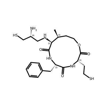 C[C@H]1CCOC(=O)[C@H](CCS)NC(=O)[C@H](Cc2ccccc2)NC(=O)[C@H]1NC[C@@H](N)CS